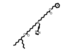 CCCCCC(CCCCC)CCOC(=O)CCCCCCCN(CC#Cc1nccs1)CCCCCCCC(=O)OCCC12CCC(CC1)CC2